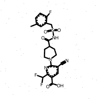 Cc1ccc(F)c(CS(=O)(=O)NC(=O)C2CCN(c3nc(C(F)F)c(C(=O)O)cc3C#N)CC2)c1